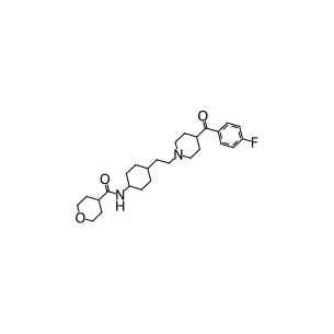 O=C(NC1CCC(CCN2CCC(C(=O)c3ccc(F)cc3)CC2)CC1)C1CCOCC1